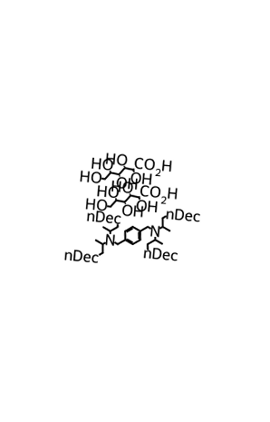 CCCCCCCCCCCC(C)N(Cc1ccc(CN(C(C)CCCCCCCCCCC)C(C)CCCCCCCCCCC)cc1)C(C)CCCCCCCCCCC.O=C(O)[C@H](O)[C@@H](O)[C@H](O)[C@H](O)CO.O=C(O)[C@H](O)[C@@H](O)[C@H](O)[C@H](O)CO